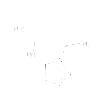 CCNC1CC=NN1CC